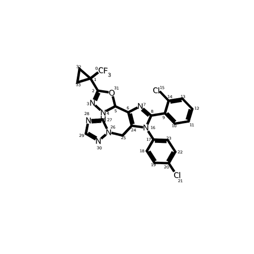 FC(F)(F)C1(C2=NNC(c3nc(-c4ccccc4Cl)n(-c4ccc(Cl)cc4)c3Cn3cncn3)O2)CC1